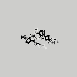 CCOc1nc(Nc2cnn(C3CC(C)(O)C3)c2C)nc2c1ccn2SI